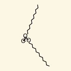 CCCCCCCCCCCCO[P](=O)OCCCCCCCCCCCC